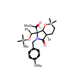 COC(=O)[C@]1([C@@H](O[Si](C)(C)C(C)(C)C)C(C)C)N(Cc2ccc(OC)cc2)C(=O)[C@@H]2CC[Si](C)(C)O[C@@]21C